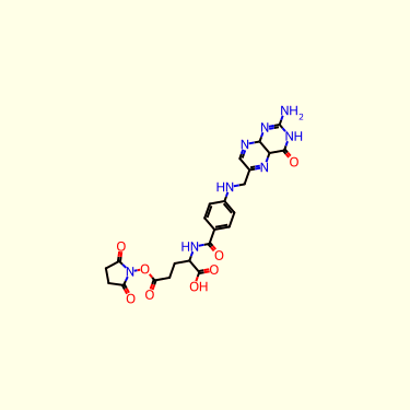 NC1=NC2N=CC(CNc3ccc(C(=O)NC(CCC(=O)ON4C(=O)CCC4=O)C(=O)O)cc3)=NC2C(=O)N1